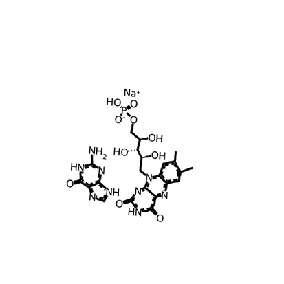 Cc1cc2nc3c(=O)[nH]c(=O)nc-3n(C[C@H](O)[C@H](O)[C@H](O)COP(=O)([O-])O)c2cc1C.Nc1nc2[nH]cnc2c(=O)[nH]1.[Na+]